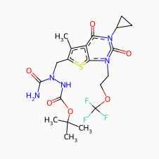 Cc1c(CN(NC(=O)OC(C)(C)C)C(N)=O)sc2c1c(=O)n(C1CC1)c(=O)n2CCOC(F)(F)F